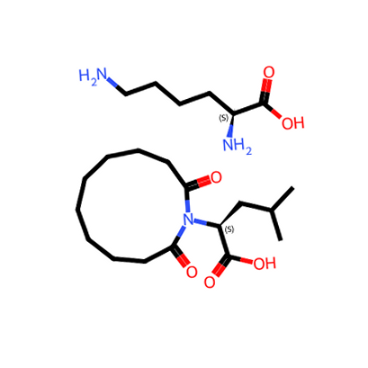 CC(C)C[C@@H](C(=O)O)N1C(=O)CCCCCCCCC1=O.NCCCC[C@H](N)C(=O)O